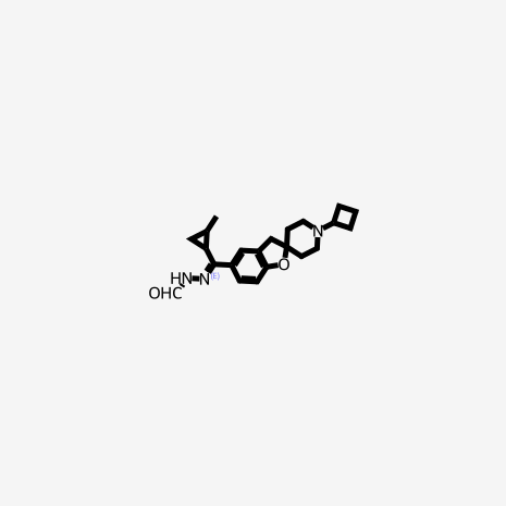 CC1CC1/C(=N\NC=O)c1ccc2c(c1)CC1(CCN(C3CCC3)CC1)O2